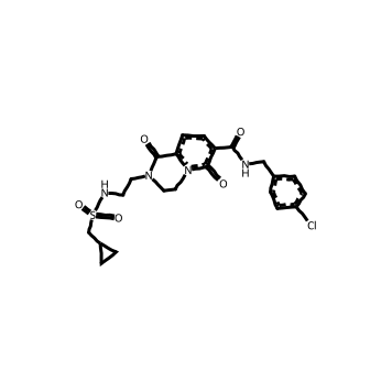 O=C(NCc1ccc(Cl)cc1)c1ccc2n(c1=O)CCN(CCNS(=O)(=O)CC1CC1)C2=O